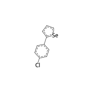 Clc1ccc(-c2ccc[se]2)cc1